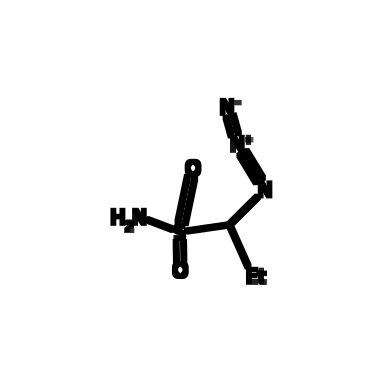 CCC(N=[N+]=[N-])S(N)(=O)=O